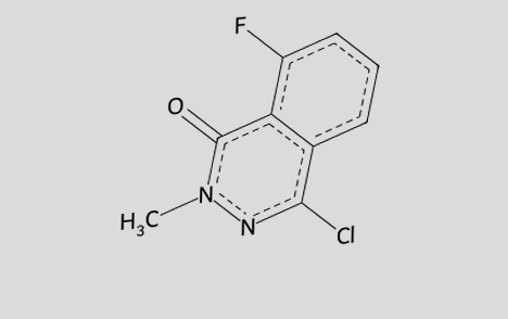 Cn1nc(Cl)c2cccc(F)c2c1=O